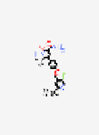 COc1cc(COc2ccc(-c3cc(C(N)=O)c(=O)[nH]c3C(F)(F)F)cc2)c(F)cn1